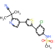 CC(C)(C#N)c1cc(-c2csc(-c3ccc(NS(C)(=O)=O)cc3Cl)c2)ccn1